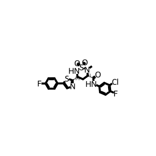 CN1[C@H](C(=O)Nc2ccc(F)c(Cl)c2)C[C@H](c2ncc(-c3ccc(F)cc3)s2)NS1(=O)=O